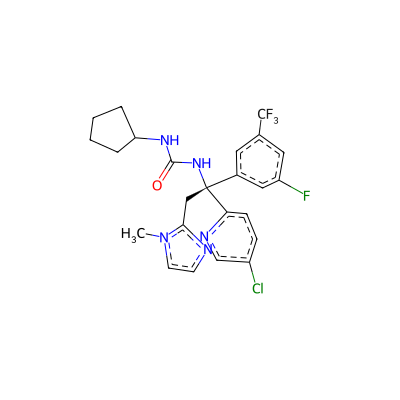 Cn1ccnc1C[C@@](NC(=O)NC1CCCC1)(c1cc(F)cc(C(F)(F)F)c1)c1ccc(Cl)cn1